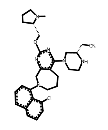 CN1CCC[C@H]1COc1nc2c(c(N3CCN[C@@H](CC#N)C3)n1)CCCN(c1cccc3cccc(Cl)c13)C2